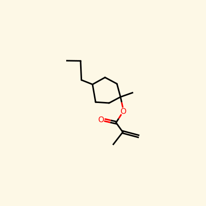 C=C(C)C(=O)OC1(C)CCC(CCC)CC1